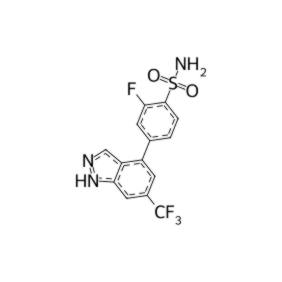 NS(=O)(=O)c1ccc(-c2cc(C(F)(F)F)cc3[nH]ncc23)cc1F